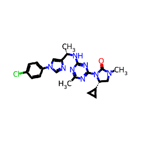 Cc1nc(N[C@@H](C)c2cn(-c3ccc(Cl)cc3)cn2)nc(N2C(=O)N(C)C[C@@H]2C2CC2)n1